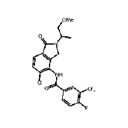 COC[C@@H](C)N1Cc2c(ccc(Cl)c2NC(=O)c2ccc(F)c(C(F)(F)F)c2)C1=O